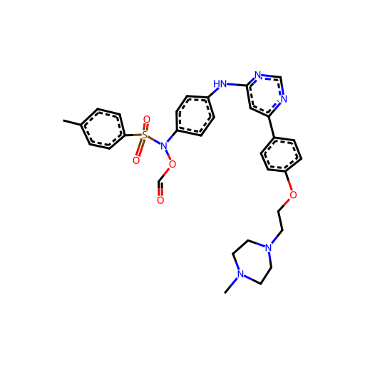 Cc1ccc(S(=O)(=O)N(OC=O)c2ccc(Nc3cc(-c4ccc(OCCN5CCN(C)CC5)cc4)ncn3)cc2)cc1